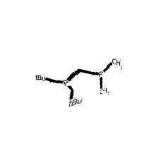 CP(C)CP(C(C)(C)C)C(C)(C)C